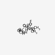 C[C@@H]1CC([C@H](c2ccc(F)cc2)[C@H](N)C(=O)Nc2ccccc2CC[C@H]2CN[C@@H]3CCCS(=O)(=O)N2C3)C[C@@H](C)O1